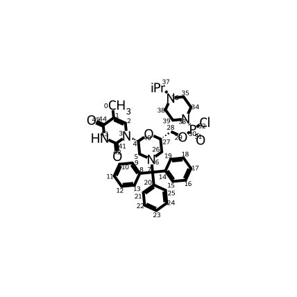 Cc1cn([C@H]2CN(C(c3ccccc3)(c3ccccc3)c3ccccc3)C[C@@H](COP(=O)(Cl)N3CCN(C(C)C)CC3)O2)c(=O)[nH]c1=O